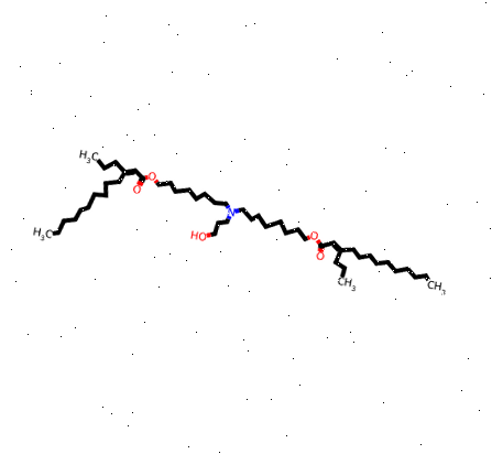 CCCCCCCCCCC(=CC(=O)OCCCCCCCCN(CCCO)CCCCCCCCOC(=O)/C=C(\CCC)CCCCCCCCCC)CCC